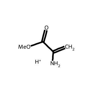 C=C(N)C(=O)OC.[H+]